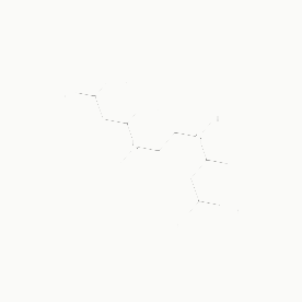 BN(CCN(B)C(C)CC(C)C)C(C)CC(C)C